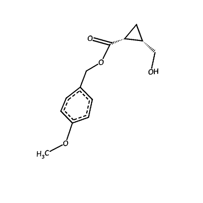 COc1ccc(COC(=O)[C@@H]2C[C@@H]2CO)cc1